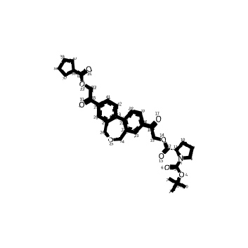 CC(C)(C)OC(=O)N1CCC[C@H]1C(=O)OCC(=O)c1ccc2c(c1)COCc1cc(C(=O)COC(=O)C3CCCC3)ccc1-2